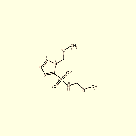 COCn1nccc1S(=O)(=O)NCCO